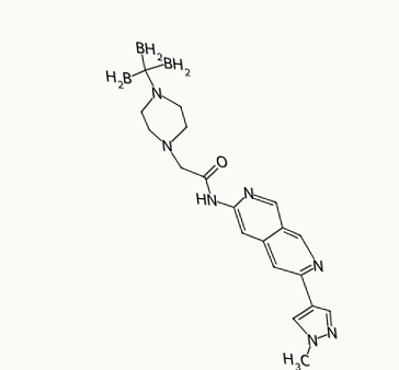 BC(B)(B)N1CCN(CC(=O)Nc2cc3cc(-c4cnn(C)c4)ncc3cn2)CC1